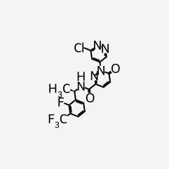 C[C@@H](NC(=O)c1ccc(=O)n(-c2cnnc(Cl)c2)n1)c1cccc(C(F)(F)F)c1F